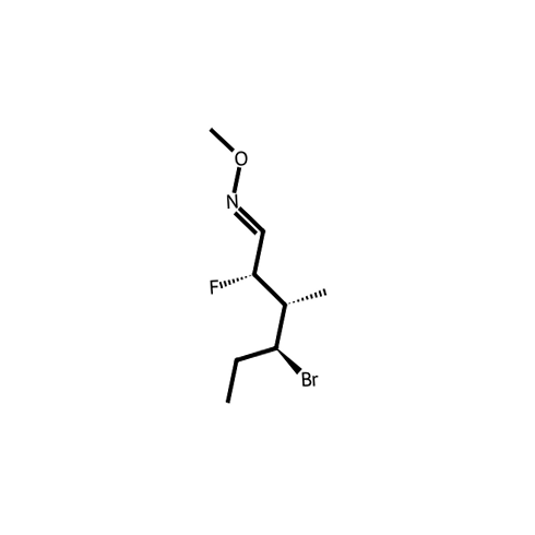 CC[C@H](Br)[C@@H](C)[C@H](F)C=NOC